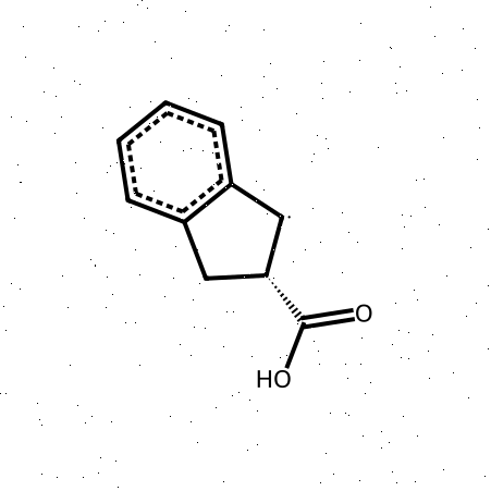 O=C(O)[C@H]1[CH]c2ccccc2C1